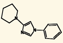 c1ccc(-n2cnc(N3CCCCC3)c2)cc1